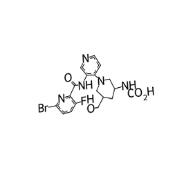 O=C(O)NC1CC(CO)CN(c2ccncc2NC(=O)c2nc(Br)ccc2F)C1